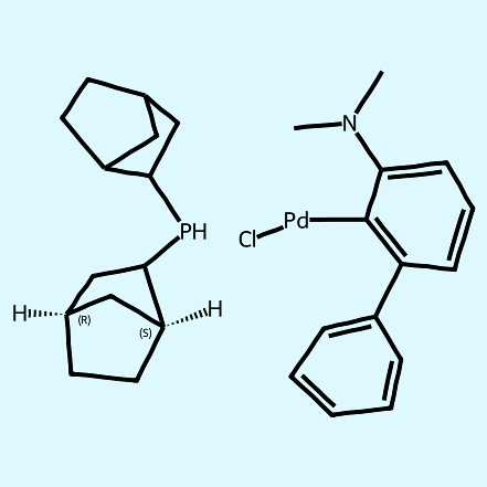 C1CC2CC1CC2PC1C[C@@H]2CC[C@H]1C2.CN(C)c1cccc(-c2ccccc2)[c]1[Pd][Cl]